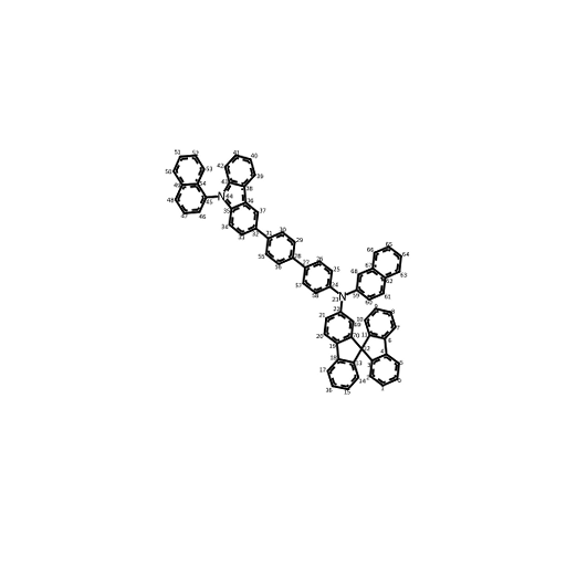 c1ccc2c(c1)-c1ccccc1C21c2ccccc2-c2ccc(N(c3ccc(-c4ccc(-c5ccc6c(c5)c5ccccc5n6-c5cccc6ccccc56)cc4)cc3)c3ccc4ccccc4c3)cc21